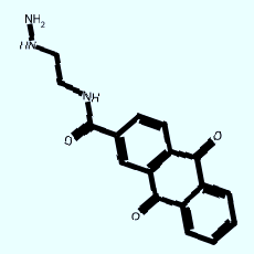 NNCCNC(=O)c1ccc2c(c1)C(=O)c1ccccc1C2=O